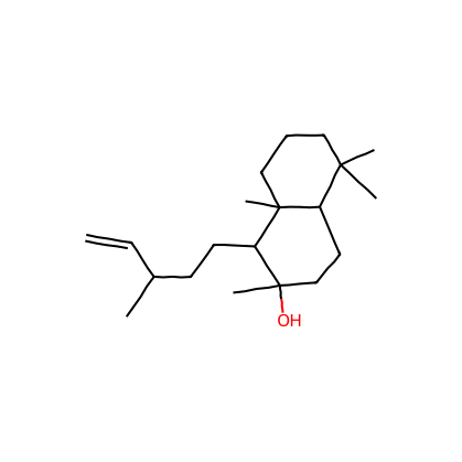 C=CC(C)CCC1C(C)(O)CCC2C(C)(C)CCCC21C